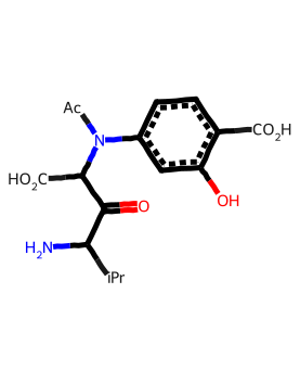 CC(=O)N(c1ccc(C(=O)O)c(O)c1)C(C(=O)O)C(=O)C(N)C(C)C